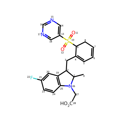 CC1C(CC2=CC=CCC2S(=O)(=O)c2cncnc2)c2cc(F)ccc2N1CC(=O)O